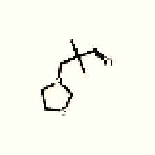 CC(C)(C=O)CN1CCSC1